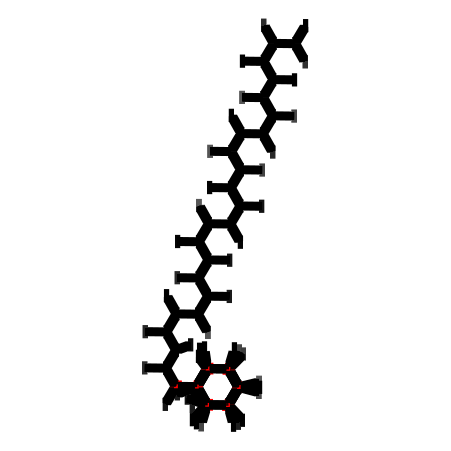 II(I)I(I)I(I)I(I)I(I)I(I)I(I)I(I)I(I)I(I)I(I)I(I)I(I)I(I)I(I)I(I)I(I)I(I)I(I)I(I)I(I)I(I)I(I)I(I)I(I)I(I)I(I)I(I)I(I)I(I)I(I)I(I)I(I)I(I)I(I)I(I)I(I)I(I)I(I)I(I)I(I)I(I)I